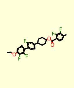 CCOc1ccc(-c2ccc(C3CCC(OC(=O)c4ccc(C)c(F)c4F)CC3)cc2F)c(F)c1F